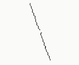 CCCCCCCC/C=C/CCCCCCCC(=O)OCCCCCCCCCCCCCCCCCC